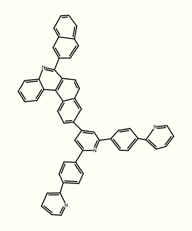 c1ccc(-c2ccc(-c3cc(-c4ccc5c(ccc6c(-c7ccc8ccccc8c7)nc7ccccc7c65)c4)cc(-c4ccc(-c5ccccn5)cc4)n3)cc2)nc1